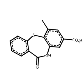 Cc1cc(C(=O)O)cc2c1Sc1ccccc1C(=O)N2